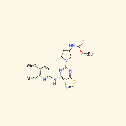 COc1ccc(Nc2nc(N3CCC(NC(=O)OC(C)(C)C)C3)nc3scnc23)nc1OC